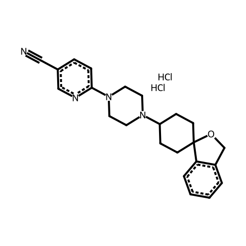 Cl.Cl.N#Cc1ccc(N2CCN(C3CCC4(CC3)OCc3ccccc34)CC2)nc1